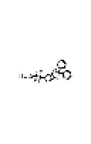 O=S(=O)(O)C(F)(F)C(F)(F)C1CC2CC1C1OC(C3=CC=CCC3)(c3ccccc3)OC21